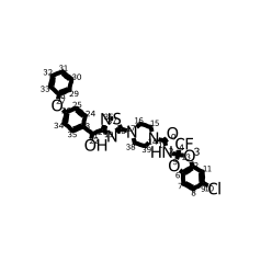 O=C(NC1(C(F)(F)F)Oc2ccc(Cl)cc2O1)N1CCN(c2nc(C(O)c3ccc(Oc4ccccc4)cc3)ns2)CC1